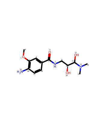 COc1cc(C(=O)NC[C@H](O)C(O)N(C)C)ccc1N